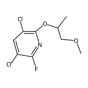 COCC(C)Oc1nc(F)c(Cl)cc1Cl